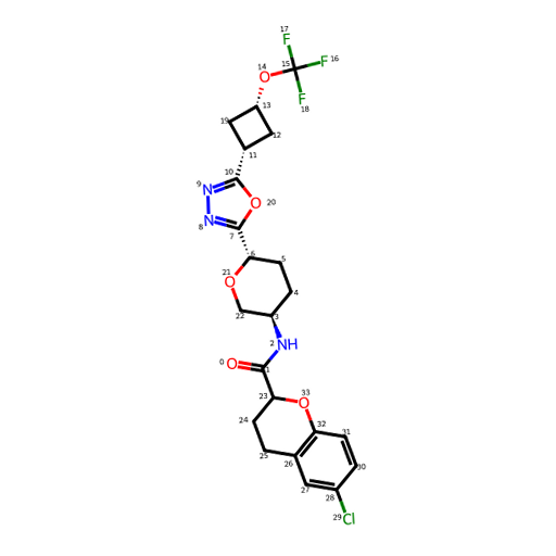 O=C(N[C@@H]1CC[C@@H](c2nnc([C@H]3C[C@@H](OC(F)(F)F)C3)o2)OC1)C1CCc2cc(Cl)ccc2O1